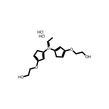 C[CH]=[Zr]([C]1=CC(OCCO)=CC1)[C]1=CC(OCCO)=CC1.Cl.Cl